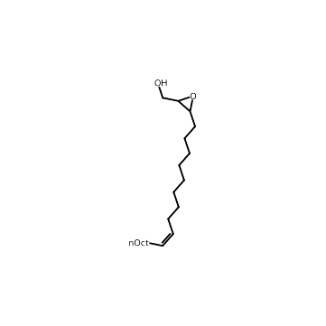 CCCCCCCC/C=C\CCCCCCCCC1OC1CO